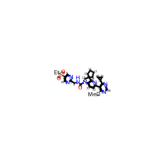 CCS(=O)(=O)c1cnc(CNC(=O)N2CC3(CCCC3)c3nc(-c4c(OC)ncnc4C4CC4)ccc32)nc1